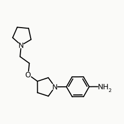 Nc1ccc(N2CCC(OCCN3CCCC3)C2)cc1